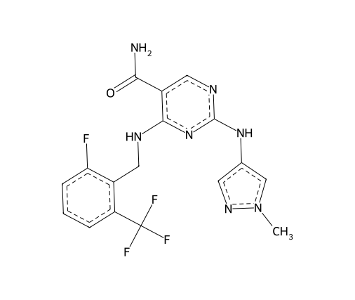 Cn1cc(Nc2ncc(C(N)=O)c(NCc3c(F)cccc3C(F)(F)F)n2)cn1